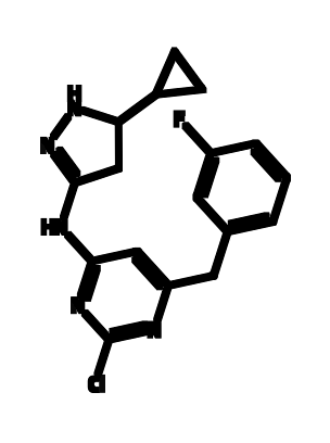 Fc1cccc(Cc2cc(NC3=NNC(C4CC4)C3)nc(Cl)n2)c1